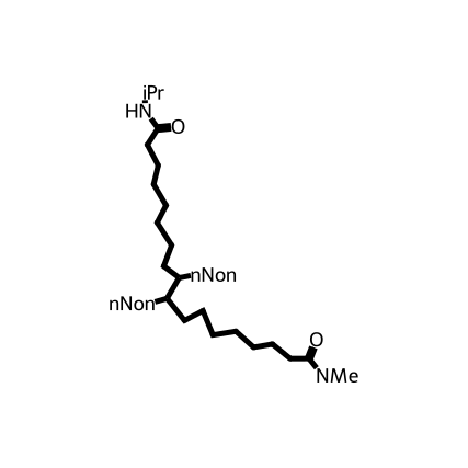 CCCCCCCCCC(CCCCCCCC(=O)NC)C(CCCCCCCCC)CCCCCCCC(=O)NC(C)C